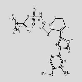 CC(C)Oc1ccc(-c2nc(C3=CCCC4=C3CC[C@@H]4NS(=O)(=O)CC(=O)N(C)C)no2)cc1N